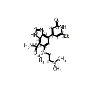 CCc1cc(-c2cc(N(C)CCN(C)C)c(C(N)=O)c3[nH]cnc23)cc(=O)[nH]1